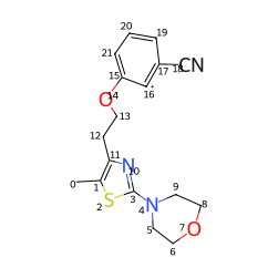 Cc1sc(N2CCOCC2)nc1CCOc1[c]c(C#N)ccc1